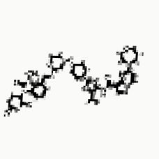 Cn1c(=O)n(C2CCC(=O)NC2=O)c2cccc(CC[C@@H]3CN(C[C@H]4CC[C@H](C5N=C(NC(=O)c6cnn7ccc(N8CCCOCC8)nc67)C(C(F)F)=N5)CC4)CCO3)c21